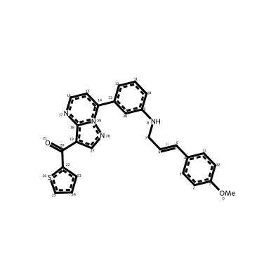 COc1ccc(/C=C/CNc2cccc(-c3ccnc4c(C(=O)c5cccs5)cnn34)c2)cc1